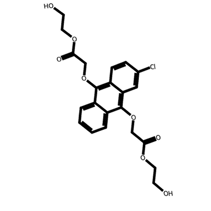 O=C(COc1c2ccccc2c(OCC(=O)OCCO)c2cc(Cl)ccc12)OCCO